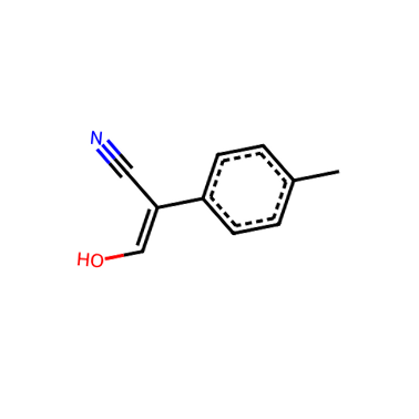 Cc1ccc(/C(C#N)=C/O)cc1